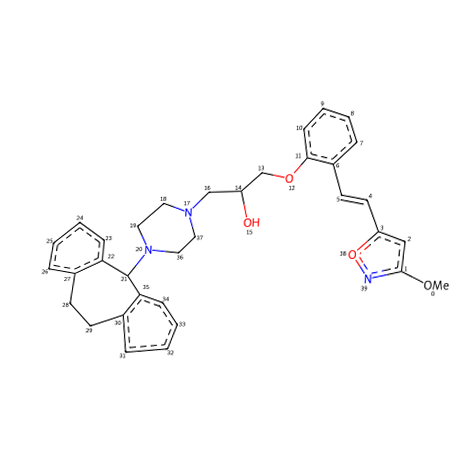 COc1cc(/C=C/c2ccccc2OCC(O)CN2CCN(C3c4ccccc4CCc4ccccc43)CC2)on1